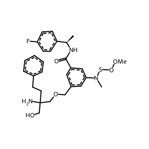 COOSN(C)c1cc(COCC(N)(CO)CCc2ccccc2)cc(C(=O)N[C@H](C)c2ccc(F)cc2)c1